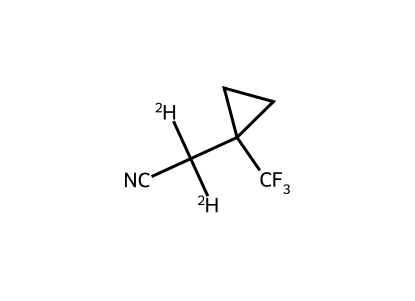 [2H]C([2H])(C#N)C1(C(F)(F)F)CC1